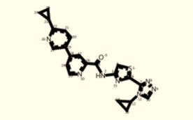 O=C(Nc1csc(-c2nncn2C2CC2)n1)c1cc(-c2ccc(C3CC3)nc2)ccn1